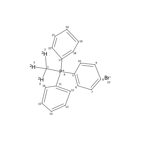 [2H]C([2H])([2H])[P+](c1ccccc1)(c1ccccc1)c1ccccc1.[Br-]